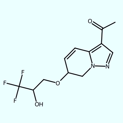 CC(=O)c1cnn2c1C=CC(OCC(O)C(F)(F)F)C2